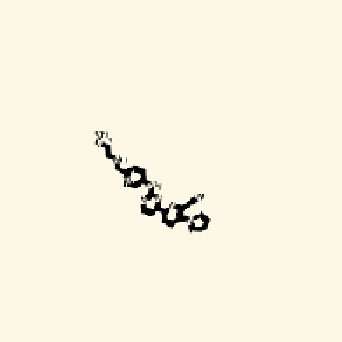 COCCNCc1ccc(Nc2nccc(-c3ccc(N4CCCC4)c(C#N)n3)n2)cn1